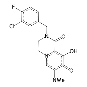 CNc1cn2c(c(O)c1=O)C(=O)N(Cc1ccc(F)c(Cl)c1)CC2